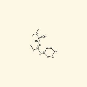 CCN(CNC(=O)C(C)C)CC1CCCCC1